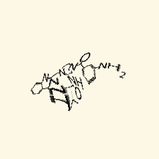 CC(C)[C@@H]1Nc2nc(nc3ccccc23)CN2CCN(C(=O)c3cccc(N)c3)CC2NC1=O